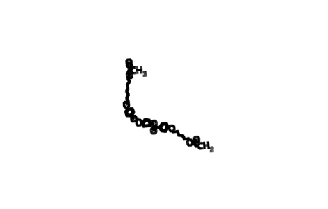 C=CC(=O)OCCCCCCOc1ccc(C(=O)Oc2ccc(OCOc3ccc(OCCCCCCCCOCC4(C)COC4)cc3)cc2)cc1